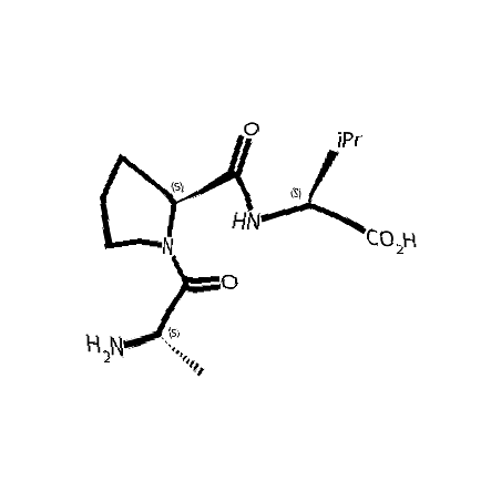 CC(C)[C@H](NC(=O)[C@@H]1CCCN1C(=O)[C@H](C)N)C(=O)O